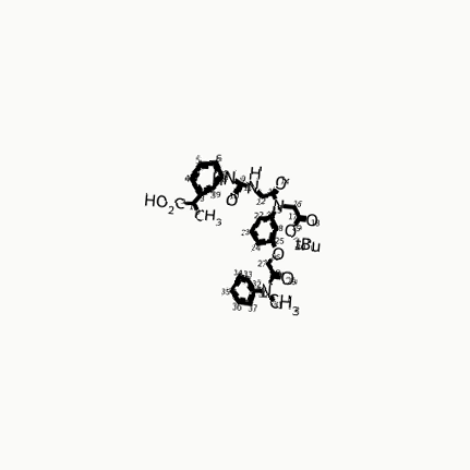 CC(C(=O)O)c1cccc(NC(=O)NCC(=O)N(CC(=O)OC(C)(C)C)c2cccc(OCC(=O)N(C)c3ccccc3)c2)c1